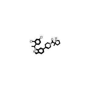 CC(c1ccc(Cl)cc1Cl)n1ncc2ccc(C3=CCN(C(=O)C4(C)CCCN4)CC3)cc21